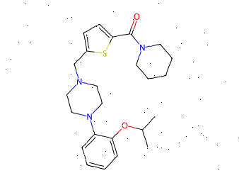 CC(C)Oc1ccccc1N1CCN(Cc2ccc(C(=O)N3CCCCC3)s2)CC1